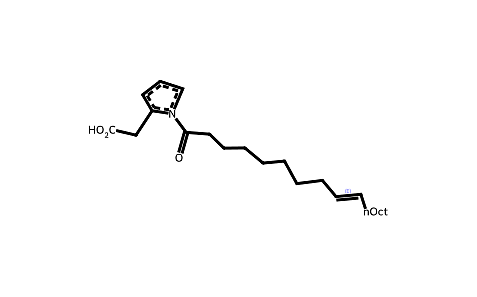 CCCCCCCC/C=C/CCCCCCCC(=O)n1cccc1CC(=O)O